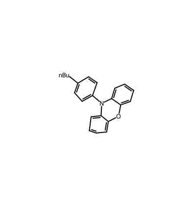 CCCCc1ccc(N2c3ccccc3Oc3ccccc32)cc1